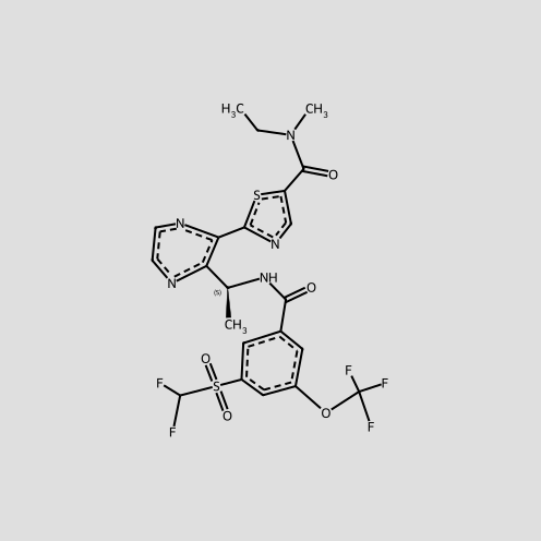 CCN(C)C(=O)c1cnc(-c2nccnc2[C@H](C)NC(=O)c2cc(OC(F)(F)F)cc(S(=O)(=O)C(F)F)c2)s1